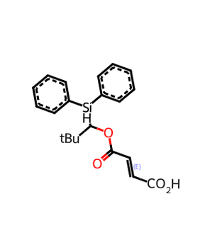 CC(C)(C)C(OC(=O)/C=C/C(=O)O)[SiH](c1ccccc1)c1ccccc1